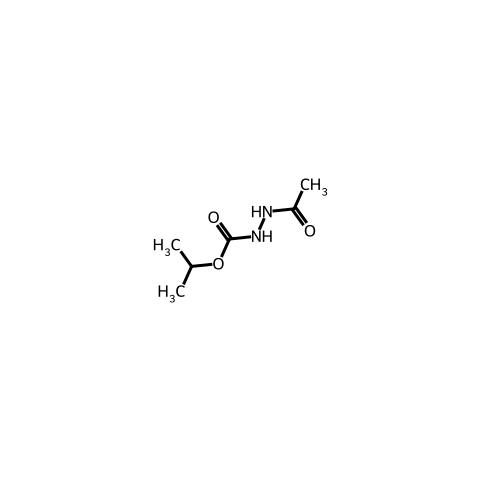 CC(=O)NNC(=O)OC(C)C